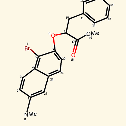 CNc1ccc2c(Br)c(OC(Cc3ccccc3)C(=O)OC)ccc2c1